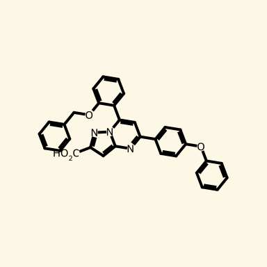 O=C(O)c1cc2nc(-c3ccc(Oc4ccccc4)cc3)cc(-c3ccccc3OCc3ccccc3)n2n1